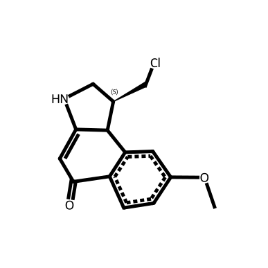 COc1ccc2c(c1)C1C(=CC2=O)NC[C@H]1CCl